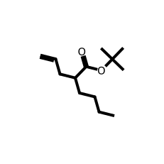 C=CCC(CCCC)C(=O)OC(C)(C)C